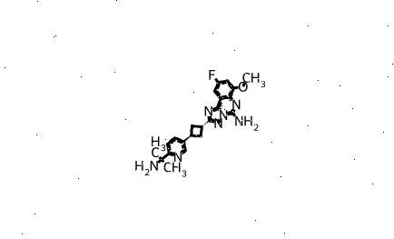 COc1cc(F)cc2c1nc(N)n1nc([C@H]3C[C@H](c4ccc(C(C)(C)N)nc4)C3)nc21